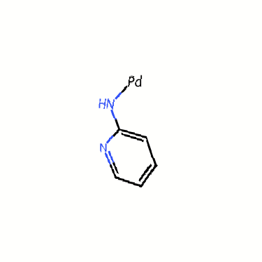 [Pd][NH]c1ccccn1